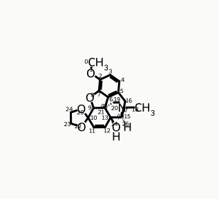 COc1ccc2c3c1OC1C4(C=CC5(O)[C@H](C2)N(C)CC[C@@]315)OCCO4